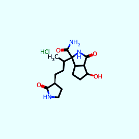 CC(CC[C@H]1CCNC1=O)C1(C(N)=O)NC(=O)C2C(O)CCC21.Cl